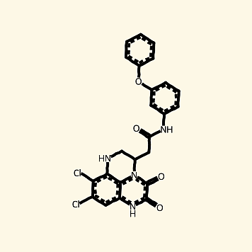 O=C(CC1CNc2c(Cl)c(Cl)cc3[nH]c(=O)c(=O)n1c23)Nc1cccc(Oc2ccccc2)c1